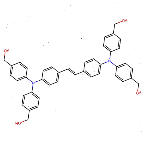 OCc1ccc(N(c2ccc(C=Cc3ccc(N(c4ccc(CO)cc4)c4ccc(CO)cc4)cc3)cc2)c2ccc(CO)cc2)cc1